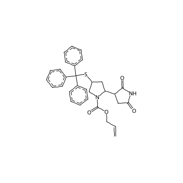 C=CCOC(=O)N1CC(SC(c2ccccc2)(c2ccccc2)c2ccccc2)CC1C1CC(=O)NC1=O